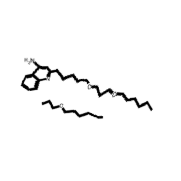 CCCCCCOCCC.CCCCCCOCCCOCCCCCc1cc(N)c2ccccc2n1